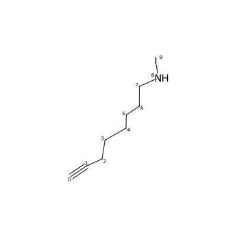 C#CCCCCCCNI